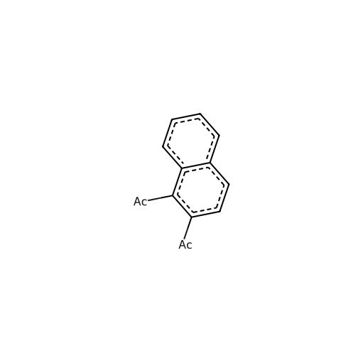 CC(=O)c1ccc2ccccc2c1C(C)=O